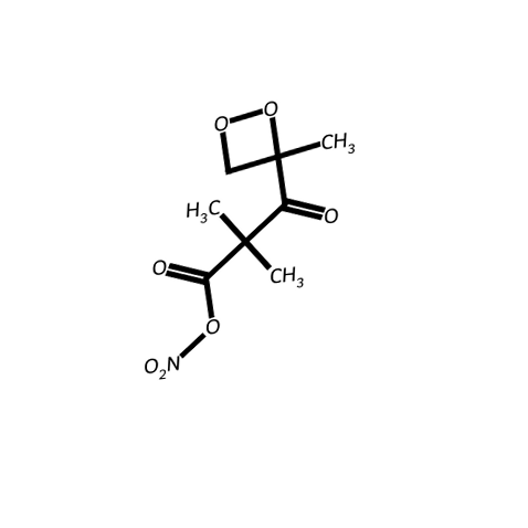 CC1(C(=O)C(C)(C)C(=O)O[N+](=O)[O-])COO1